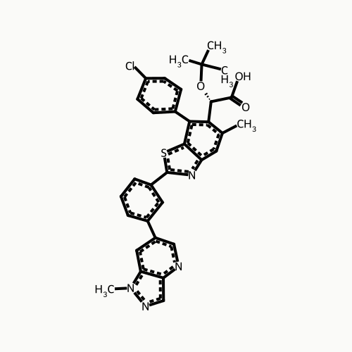 Cc1cc2nc(-c3cccc(-c4cnc5cnn(C)c5c4)c3)sc2c(-c2ccc(Cl)cc2)c1[C@H](OC(C)(C)C)C(=O)O